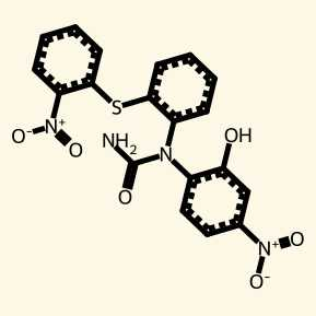 NC(=O)N(c1ccc([N+](=O)[O-])cc1O)c1ccccc1Sc1ccccc1[N+](=O)[O-]